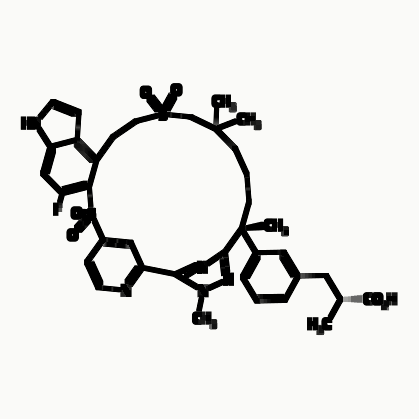 C[C@H](Cc1cccc([C@@]2(C)CCCC(C)(C)CS(=O)(=O)CCc3c(c(F)cc4[nH]ccc34)S(=O)(=O)c3ccnc(c3)-c3nc2nn3C)c1)C(=O)O